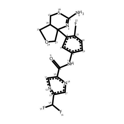 NC1=NC2(c3cc(NC(=O)c4cnc(C(F)F)cn4)ccc3F)COCC2CS1